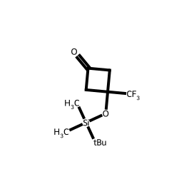 CC(C)(C)[Si](C)(C)OC1(C(F)(F)F)CC(=O)C1